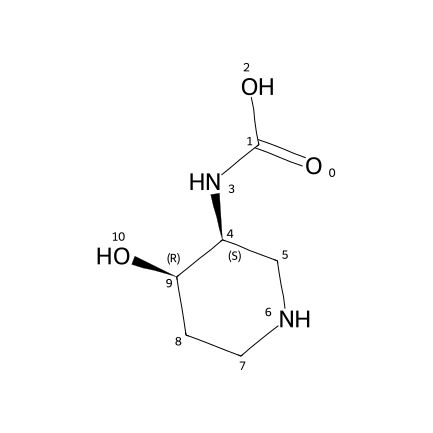 O=C(O)N[C@H]1CNCC[C@H]1O